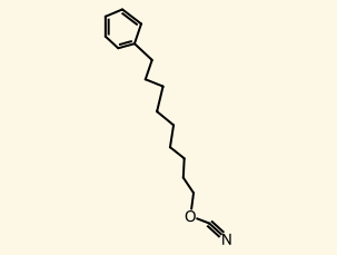 N#COCCCCCCCCCc1ccccc1